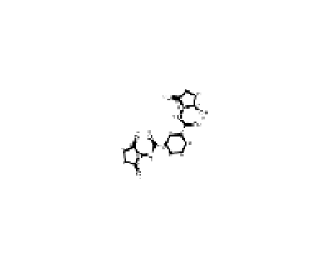 O=C(ON1C(=O)CCC1=O)[C@H]1CCC[C@@H](C(=O)ON2C(=O)CCC2O)C1